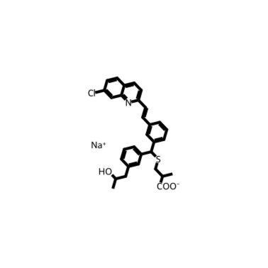 CC(O)Cc1cccc(C(SCC(C)C(=O)[O-])c2cccc(C=Cc3ccc4ccc(Cl)cc4n3)c2)c1.[Na+]